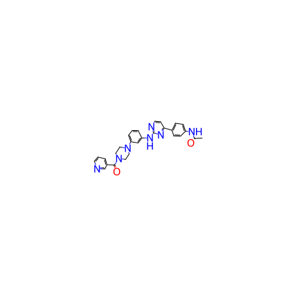 CC(=O)Nc1ccc(-c2ccnc(Nc3cccc(N4CCN(C(=O)c5cccnc5)CC4)c3)n2)cc1